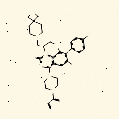 C=CC(=O)N1CCN(c2nc(=O)n3c4c(c(-c5ccc(F)cc5)c(Cl)cc24)SC[C@@H]3CN2CCC3(CC2)COC3)[C@@H](C)C1